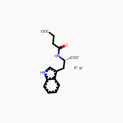 O=C([O-])CCC(=O)N[C@@H](Cc1c[nH]c2ccccc12)C(=O)[O-].[K+].[K+]